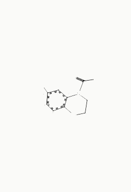 CC(=O)N1CCOc2ccc(O)cc21